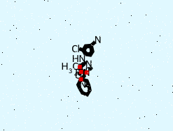 Cc1c(Nc2ccc(C#N)cc2Cl)ncnc1OC1CC2CCCC(C1)N2CCC(F)(F)F